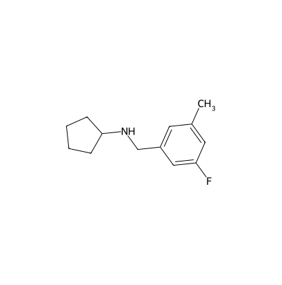 Cc1cc(F)cc(CNC2CCCC2)c1